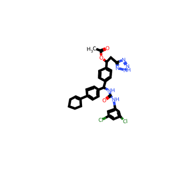 CC(=O)OC(Cc1nn[nH]n1)c1ccc(C(NC(=O)Nc2cc(Cl)cc(Cl)c2)c2ccc(C3=CCCCC3)cc2)cc1